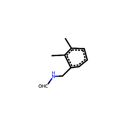 Cc1cccc(CNC=O)c1C